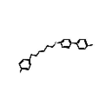 Cc1ccc(CCCCCCOc2ccc(-c3ccc(C)cc3)cc2)cc1